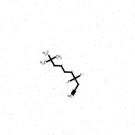 C#CCC(F)(F)CCCCC(C)(C)C